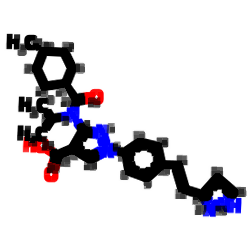 CC(C)N(c1nn(-c2ccc(/C=C/c3cc[nH]n3)cc2)cc1C(=O)O)C(=O)[C@H]1CC[C@H](C)CC1